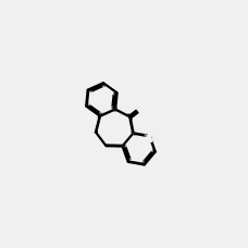 O=C1c2ccccc2CCC2=CC=CNC12